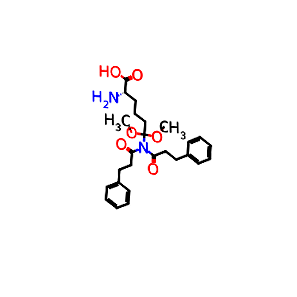 COC(CCC[C@H](N)C(=O)O)(OC)N(C(=O)CCc1ccccc1)C(=O)CCc1ccccc1